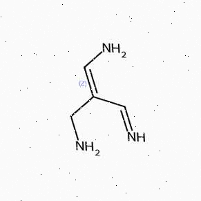 N=C/C(=C\N)CN